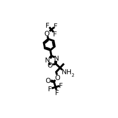 CC(N)(COC(=O)C(F)(F)F)c1nc(-c2ccc(OC(F)(F)F)cc2)no1